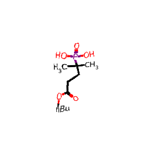 CCCCOC(=O)CCC(C)(C)P(=O)(O)O